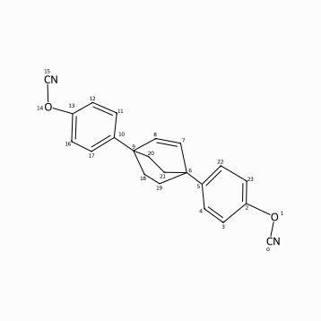 N#COc1ccc(C23C=CC(c4ccc(OC#N)cc4)(CC2)CC3)cc1